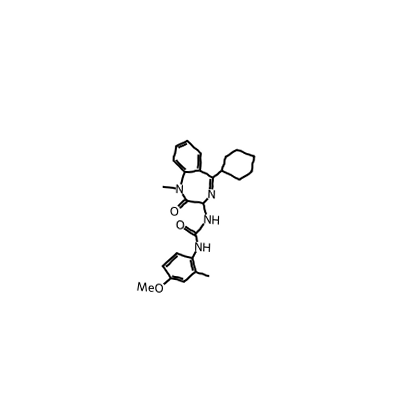 COc1ccc(NC(=O)NC2N=C(C3CCCCC3)c3ccccc3N(C)C2=O)c(C)c1